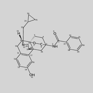 O=C(NC12CC[C@@]3(OC1)[C@H]1Cc4ccc(O)cc4[C@@]3(CCN1CC1CC1)C2)c1ccccc1